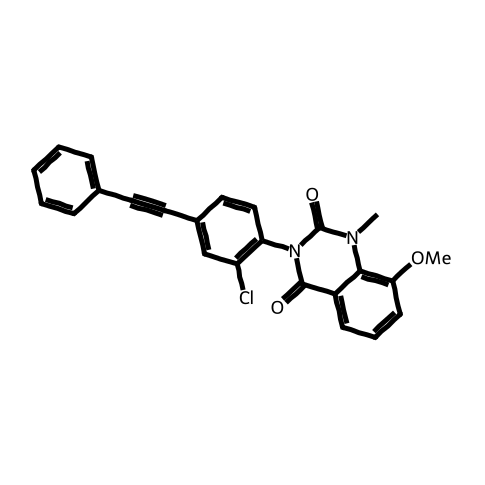 COc1cccc2c(=O)n(-c3ccc(C#Cc4ccccc4)cc3Cl)c(=O)n(C)c12